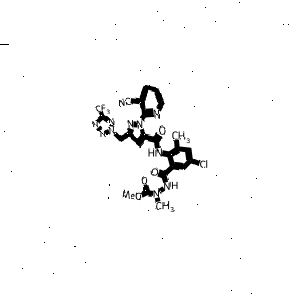 COC(=O)N(C)NC(=O)c1cc(Cl)cc(C)c1NC(=O)c1cc(Cn2nnc(C(F)(F)F)n2)nn1-c1ncccc1C#N